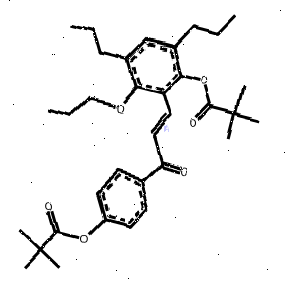 CCCOc1c(CCC)cc(CCC)c(OC(=O)C(C)(C)C)c1/C=C/C(=O)c1ccc(OC(=O)C(C)(C)C)cc1